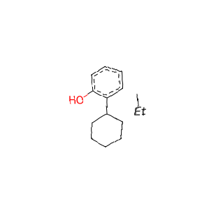 CCC.Oc1ccccc1C1CCCCC1